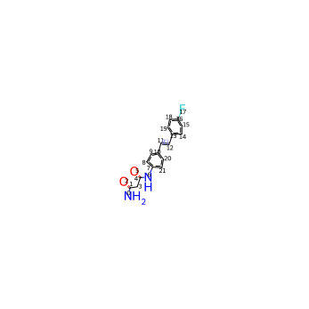 NC(=O)CC(=O)Nc1ccc(/C=C/c2ccc(F)cc2)cc1